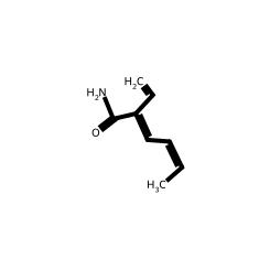 C=C/C(=C\C=C/C)C(N)=O